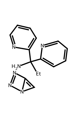 CCC(N)(c1ccccn1)c1ccccn1.c1c2nnn1-2